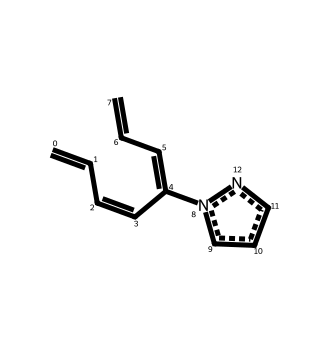 C=C/C=C\C(=C/C=C)n1cccn1